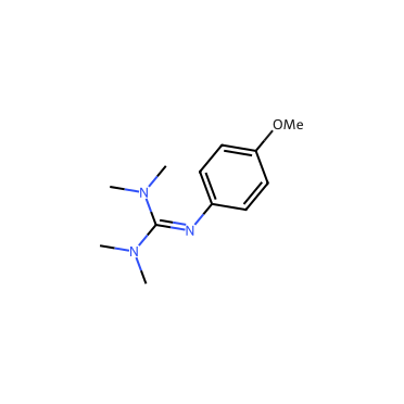 COc1ccc(N=C(N(C)C)N(C)C)cc1